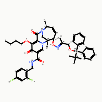 CCCCOc1c2n(cc(C(=O)NCc3ccc(F)cc3F)c1=O)[C@@H]1CN(C2=O)[C@@H](C)C=C[C@]12CC(CO[Si](c1ccccc1)(c1ccccc1)C(C)(C)C)=NO2